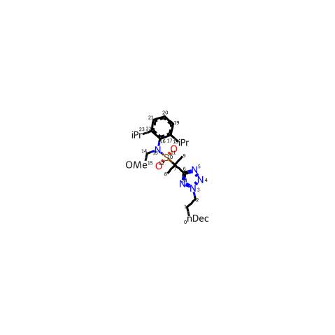 CCCCCCCCCCCCn1nnc(C(C)(C)S(=O)(=O)N(COC)c2c(C(C)C)cccc2C(C)C)n1